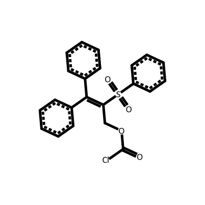 O=C(Cl)OCC(=C(c1ccccc1)c1ccccc1)S(=O)(=O)c1ccccc1